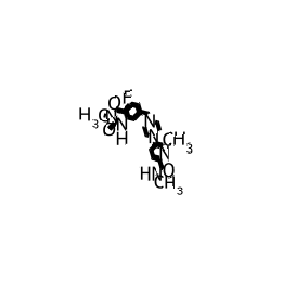 CNC(=O)c1ccc(N2CCN(Cc3cc(F)c4c(=O)n(C)c(=O)[nH]c4c3)CC2)c(C)n1